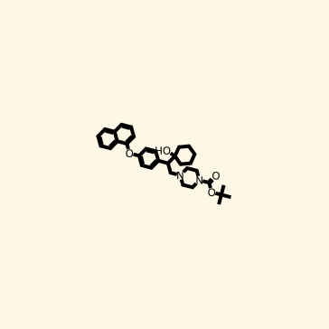 CC(C)(C)OC(=O)N1CCN(CC(c2ccc(Oc3cccc4ccccc34)cc2)C2(O)CCCCC2)CC1